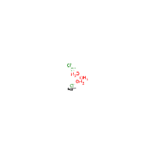 O.O.O.[Au+3].[Cl-].[Cl-].[Cl-]